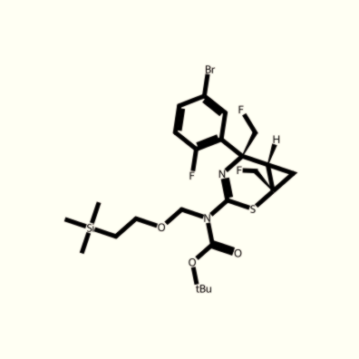 CC(C)(C)OC(=O)N(COCC[Si](C)(C)C)C1=N[C@](CF)(c2cc(Br)ccc2F)[C@@H]2C[C@]2(CF)S1